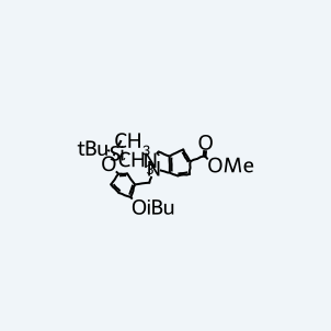 COC(=O)c1ccc2c(cnn2Cc2cc(O[Si](C)(C)C(C)(C)C)ccc2OCC(C)C)c1